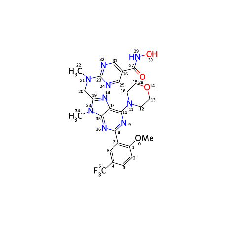 COc1ccc(C(F)(F)F)cc1-c1nc(N2CCOCC2)c2nc(CN(C)c3ncc(C(=O)NO)cn3)n(C)c2n1